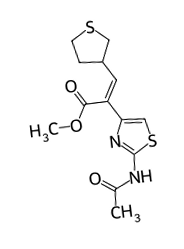 COC(=O)C(=CC1CCSC1)c1csc(NC(C)=O)n1